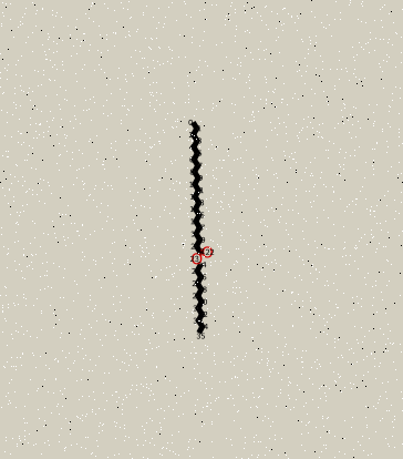 CCCCCCCCCCCCCCCCCCCCCC(=O)OCCCCCCCCCCCC